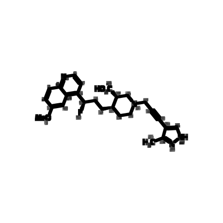 COc1ccc2nccc([C@H](F)CC[C@@H]3CCN(CC#Cc4c[nH]nc4C)C[C@@H]3C(=O)O)c2c1